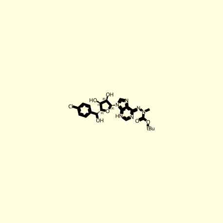 CN(N=c1nc[nH]c2c1ncn2[C@@H]1O[C@H](C(O)c2ccc(Cl)cc2)[C@@H](O)[C@H]1O)C(=O)OC(C)(C)C